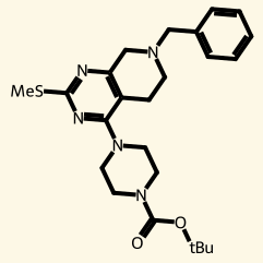 CSc1nc2c(c(N3CCN(C(=O)OC(C)(C)C)CC3)n1)CCN(Cc1ccccc1)C2